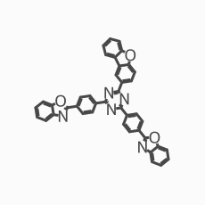 c1ccc2oc(-c3ccc(-c4nc(-c5ccc(-c6nc7ccccc7o6)cc5)nc(-c5ccc6oc7ccccc7c6c5)n4)cc3)nc2c1